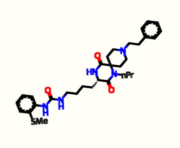 CCCN1C(=O)[C@H](CCCCNC(=O)Nc2ccccc2SC)NC(=O)C12CCN(CCc1ccccc1)CC2